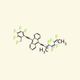 C\C(F)=C(F)/C(F)=C(F)\C(F)=C(/C)C#Cc1c2ccccc2c(C#Cc2c(F)c(F)c(F)c(F)c2CF)c2ccccc12